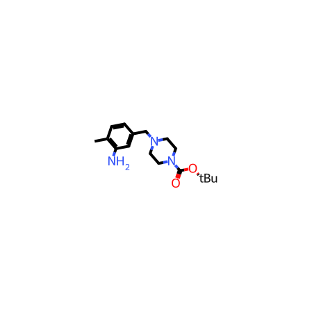 Cc1ccc(CN2CCN(C(=O)OC(C)(C)C)CC2)cc1N